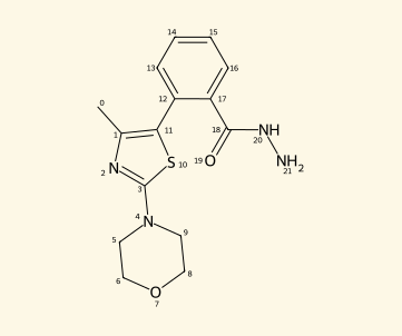 Cc1nc(N2CCOCC2)sc1-c1ccccc1C(=O)NN